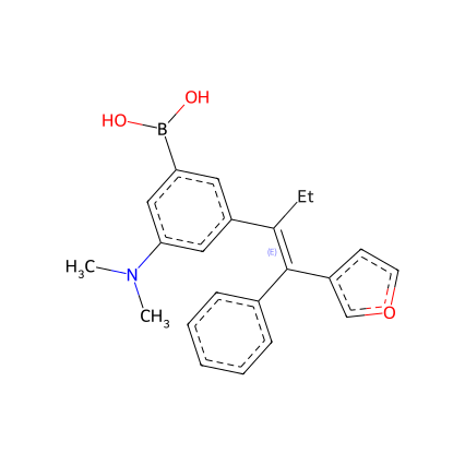 CC/C(=C(/c1ccccc1)c1ccoc1)c1cc(B(O)O)cc(N(C)C)c1